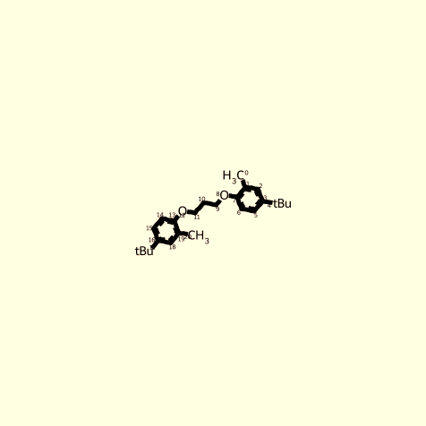 Cc1cc(C(C)(C)C)ccc1OCCCOc1ccc(C(C)(C)C)cc1C